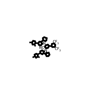 Cc1ccc(-c2ccc3c(c2)c2ccccc2n3-c2cc(-c3cc(C(F)(F)F)cc(C(F)(F)F)c3)cc(-n3c4ccccc4c4cc(-c5ccc(C)cc5C)ccc43)c2C#N)c(C)c1